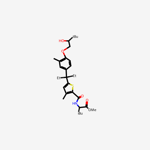 CCC(C)C(NC(=O)c1sc(C(CC)(CC)c2ccc(OCC(O)C(C)(C)C)c(C)c2)cc1C)C(=O)OC